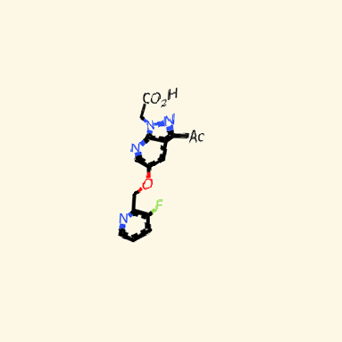 CC(=O)c1nn(CC(=O)O)c2ncc(OCc3ncccc3F)cc12